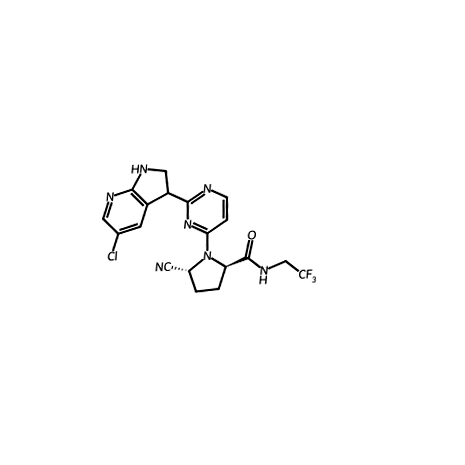 N#C[C@H]1CC[C@H](C(=O)NCC(F)(F)F)N1c1ccnc(C2CNc3ncc(Cl)cc32)n1